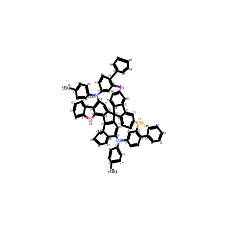 CC(C)(C)c1ccc(N(c2ccc(-c3ccccc3)c(P)c2)c2cc3c(c4ccccc24)-c2c(cc(N(c4ccc(C(C)(C)C)cc4)c4ccc(-c5ccccc5)c(I)c4)c4c2oc2ccccc24)C32c3ccccc3-c3ccccc32)cc1